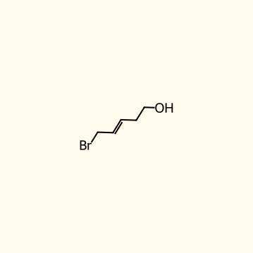 OCCC=CCBr